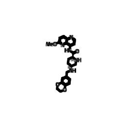 COc1ccc2nccc(NC(=O)[C@@H]3CC[C@@H](NCc4ccc5c(c4)OCCO5)CN3)c2n1